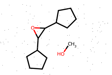 C1CCC(C2OC2C2CCCC2)C1.CO